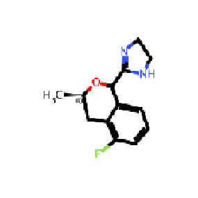 C[C@@H]1Cc2c(F)cccc2C(C2=NCCN2)O1